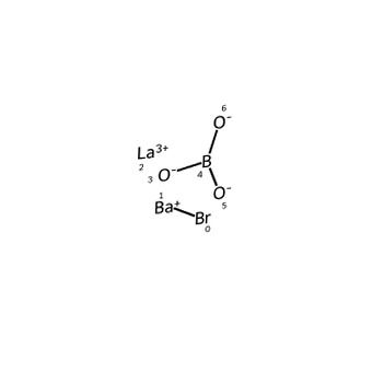 [Br][Ba+].[La+3].[O-]B([O-])[O-]